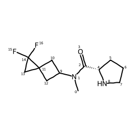 CN(C(=O)[C@@H]1CCCN1)C1CC2(C1)CC2(F)F